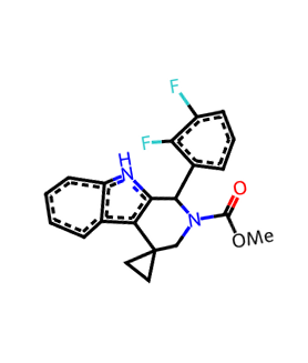 COC(=O)N1CC2(CC2)c2c([nH]c3ccccc23)C1c1cccc(F)c1F